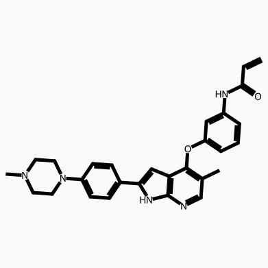 C=CC(=O)Nc1cccc(Oc2c(C)cnc3[nH]c(-c4ccc(N5CCN(C)CC5)cc4)cc23)c1